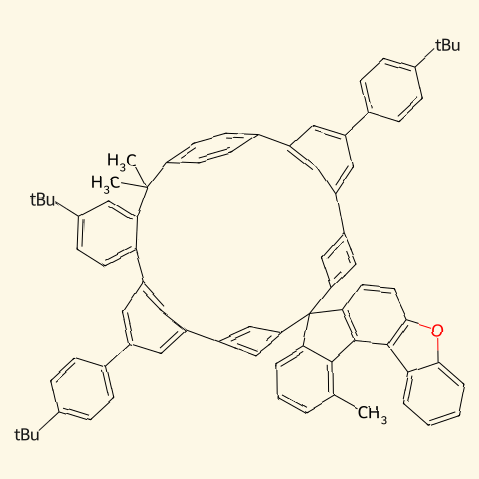 Cc1cccc2c1-c1c(ccc3oc4ccccc4c13)C21c2cccc(c2)-c2cc(-c3ccc(C(C)(C)C)cc3)cc(c2)-c2ccc(cc2)C(C)(C)c2cc(C(C)(C)C)ccc2-c2cc(-c3ccc(C(C)(C)C)cc3)cc(c2)-c2cccc1c2